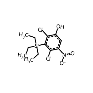 CC[Si](CC)(CC)c1c(Cl)c(O)cc([N+](=O)[O-])c1Cl